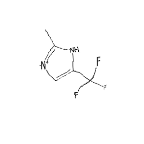 CC1=[N+]C=C(C(F)(F)F)N1